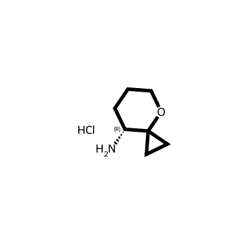 Cl.N[C@@H]1CCCOC12CC2